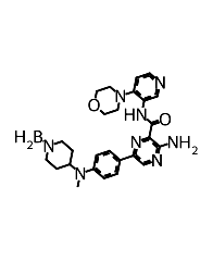 BN1CCC(N(C)c2ccc(-c3cnc(N)c(C(=O)Nc4cnccc4N4CCOCC4)n3)cc2)CC1